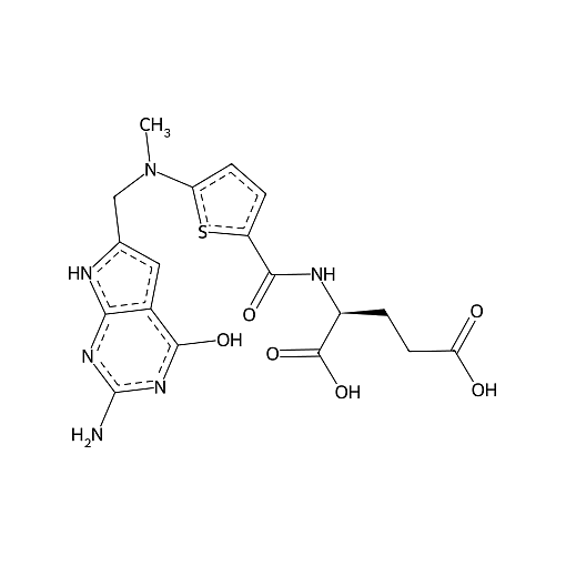 CN(Cc1cc2c(O)nc(N)nc2[nH]1)c1ccc(C(=O)N[C@@H](CCC(=O)O)C(=O)O)s1